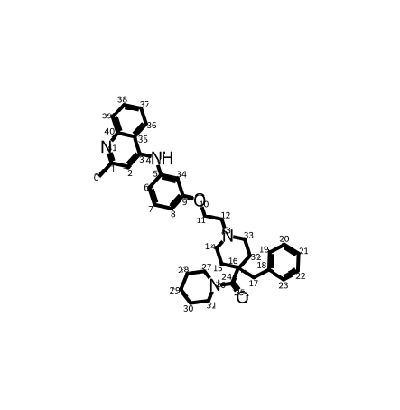 Cc1cc(Nc2cccc(OCCN3CCC(Cc4ccccc4)(C(=O)N4CCCCC4)CC3)c2)c2ccccc2n1